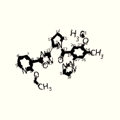 CCOc1ncccc1-c1nc([C@@H]2CCCN2C(=O)c2cc(OC)c(C)cc2-n2nccn2)no1